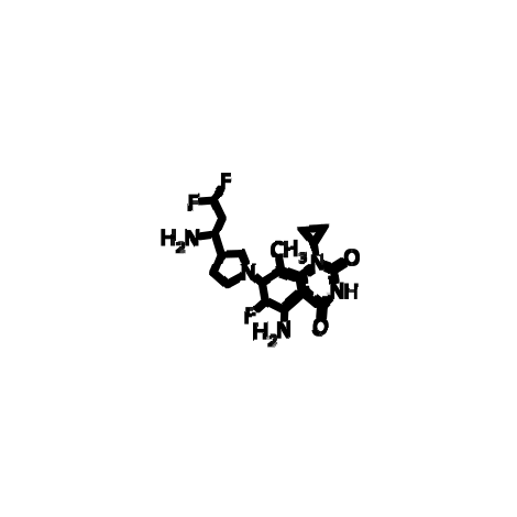 CC1=c2c(c(=O)[nH]c(=O)n2C2CC2)=C(N)C(F)C1N1CCC(C(N)CC(F)F)C1